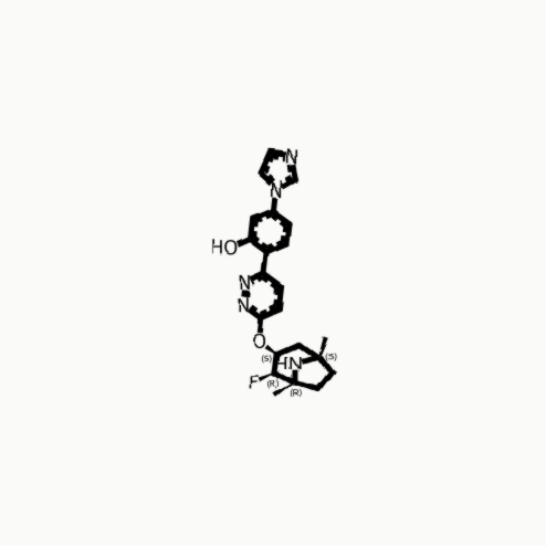 C[C@@]12CC[C@@](C)(N1)[C@@H](F)[C@@H](Oc1ccc(-c3ccc(-n4ccnc4)cc3O)nn1)C2